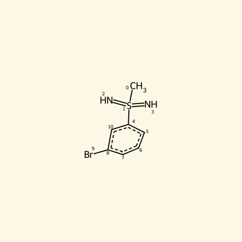 CS(=N)(=N)c1cccc(Br)c1